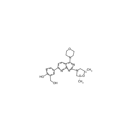 C[C@@H]1CN(c2nc(N3CCOCC3)c3ccc(-c4ccc(O)c(CO)c4)nc3n2)C[C@H](C)O1